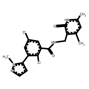 Cc1cc(C)c(CNC(=O)c2cc(Cl)cc(-c3ccnn3C)c2Cl)c(=O)[nH]1